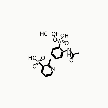 CC(=O)Nc1ccccc1[As](=O)(O)OO.Cc1ncccc1S(=O)(=O)O.Cl